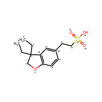 CCC1(CC)COc2ccc(CCS(=O)(=O)O)cc21